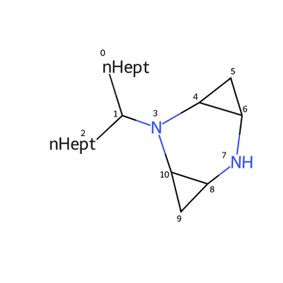 CCCCCCCC(CCCCCCC)N1C2CC2NC2CC21